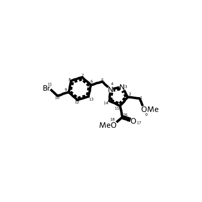 COCc1nn(Cc2ccc(CBr)cc2)cc1C(=O)OC